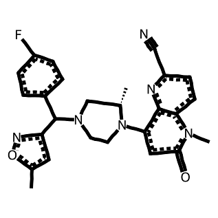 Cc1cc(C(c2ccc(F)cc2)N2CCN(c3cc(=O)n(C)c4ccc(C#N)nc34)[C@@H](C)C2)no1